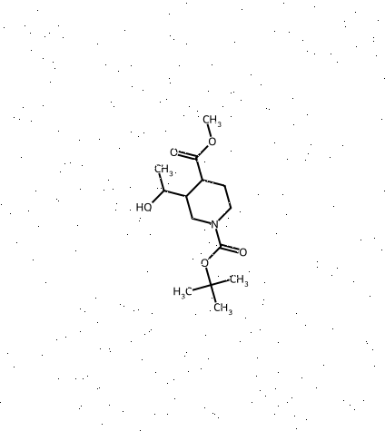 COC(=O)C1CCN(C(=O)OC(C)(C)C)CC1C(C)O